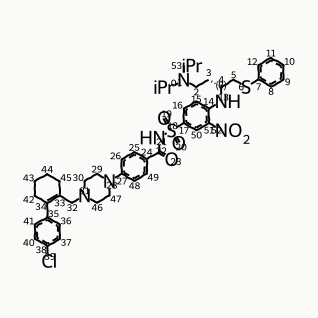 CC(C)N(CC[C@H](CSc1ccccc1)Nc1ccc(S(=O)(=O)NC(=O)c2ccc(N3CCN(CC4=C(c5ccc(Cl)cc5)CCCC4)CC3)cc2)cc1[N+](=O)[O-])C(C)C